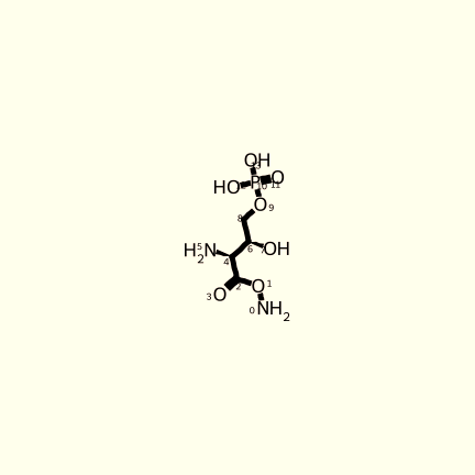 NOC(=O)[C@@H](N)[C@H](O)COP(=O)(O)O